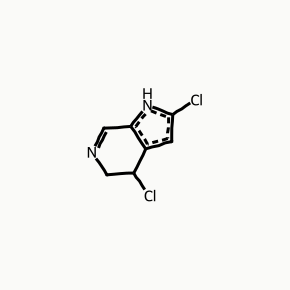 Clc1cc2c([nH]1)C=NCC2Cl